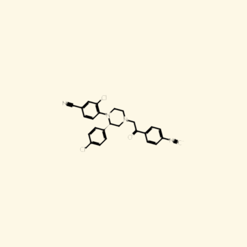 [C-]#[N+]c1ccc(C(=O)CN2CCN(c3ccc(C#N)cc3Cl)[C@H](c3ccc(Cl)cc3)C2)cc1